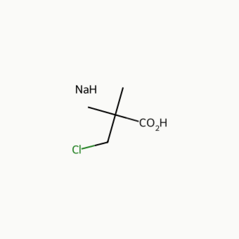 CC(C)(CCl)C(=O)O.[NaH]